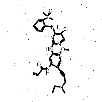 C=CC(=O)Nc1cc(Nc2ncc(Cl)c(Nc3ccccc3P(C)(C)=O)n2)c(OC)cc1C#CCN(C)CC